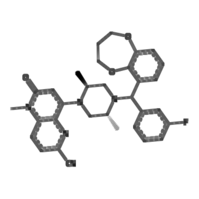 C[C@@H]1CN(c2cc(=O)n(C)c3ccc(C#N)nc23)[C@@H](C)CN1C(c1cccc(F)c1)c1cccc2c1OCCCO2